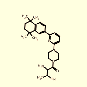 CC(O)C(N)C(=O)N1CCN(c2cccc(-c3ccc4c(c3)C(C)(C)CCC4(C)C)n2)CC1